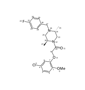 COc1ccc(Cl)cc1OCC(=O)N1C[C@@H](C)N(Cc2ccc(F)cc2)C[C@@H]1C